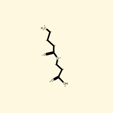 CCCCC(=O)OCCC(=O)O